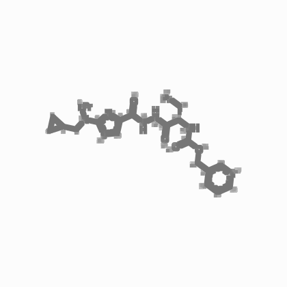 CCCN(CC1CC1)c1nc(C(=O)NNC(=O)[C@H](CC(C)C)NC(=O)OCc2cccnc2)cs1